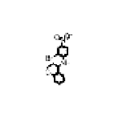 O=[N+]([O-])c1ccc(NC2CCOc3ccccc32)c(Br)c1